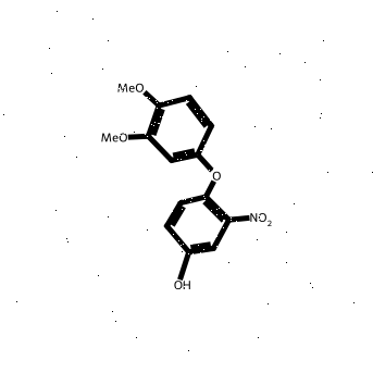 COc1ccc(Oc2ccc(O)cc2[N+](=O)[O-])cc1OC